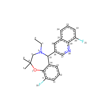 CCN1CC(C)(C)Oc2c(F)cccc2C1c1cnc2c(F)cccc2c1